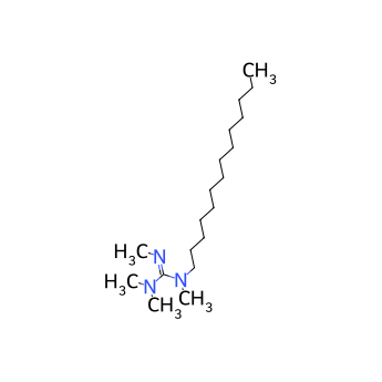 CCCCCCCCCCCCCCN(C)C(=NC)N(C)C